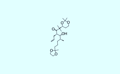 C=CC[C@@H](C(=O)C(C)(C)[C@@H]1CCOC(C)(C)O1)[C@@H](O)[C@@H](C)CCCC1(C)OCCO1